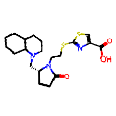 O=C(O)c1csc(SCCN2C(=O)CC[C@@H]2CN2CCCC3CCCCC32)n1